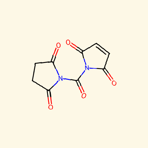 O=C1C=CC(=O)N1C(=O)N1C(=O)CCC1=O